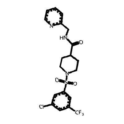 O=C(NCc1ccccn1)C1CCN(S(=O)(=O)c2cc(Cl)cc(C(F)(F)F)c2)CC1